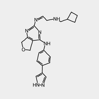 C(/CNCC1CCC1)=N/c1nc2c(c(Nc3ccc(-c4cn[nH]c4)cc3)n1)COC2